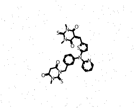 CN1C(=O)C(=Cc2ccc(N(c3cccc(CN4C(=O)CC(=O)N(C)C4=S)c3)c3ccccn3)s2)C(=O)N(C)C1=S